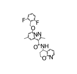 Cc1cc(OCc2c(F)cccc2F)n2nc(C)c(C(=O)NC3CCOc4ncccc43)c2c1